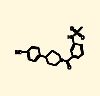 CS(=O)(=O)Nc1cccc(C(=O)N2CCC(c3ccc(C#N)cc3)CC2)c1